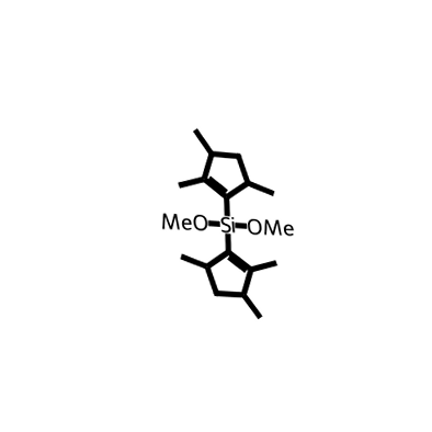 CO[Si](OC)(C1=C(C)C(C)CC1C)C1=C(C)C(C)CC1C